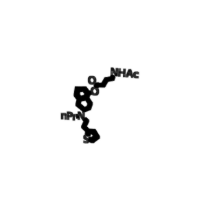 CCCN(CCc1cccs1)[C@H]1CCc2c(cccc2OC(=O)CCCNC(C)=O)C1